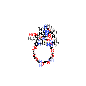 CC[C@H](C)[C@H](NC(=O)C(C)(C)N(C)C)C(=O)N(C)[C@H](C[C@@H](OC(=O)N(C)C)c1nc(C(=O)N[C@@H](Cc2ccc3c(c2)NCCCCNC(=O)CCOCCOCCNC(=O)C#CC(=O)NCCOCCOCCC(=O)O3)CC(C)C(=O)O)cs1)C(C)C